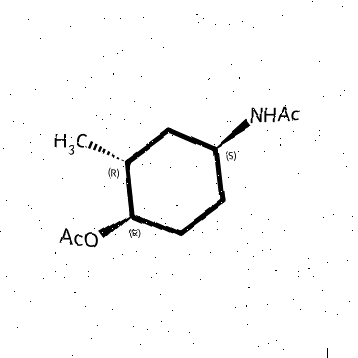 CC(=O)N[C@H]1CC[C@@H](OC(C)=O)[C@H](C)C1